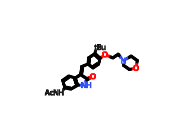 CC(=O)Nc1ccc2c(c1)NC(=O)C2=Cc1ccc(OCCN2CCOCC2)c(C(C)(C)C)c1